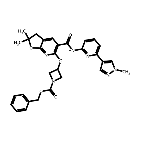 Cn1cc(-c2cccc(NC(=O)c3cc4c(nc3OC3CN(C(=O)OCc5ccccc5)C3)OC(C)(C)C4)n2)cn1